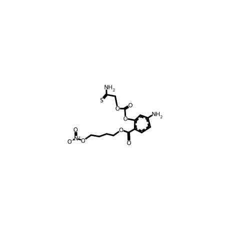 NC(=S)COC(=O)Oc1cc(N)ccc1C(=O)OCCCCO[N+](=O)[O-]